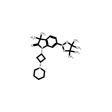 CC1(C)C(=O)N([C@H]2C[C@@H](N3CCCCC3)C2)c2cc(B3OC(C)(C)C(C)(C)O3)ccc21